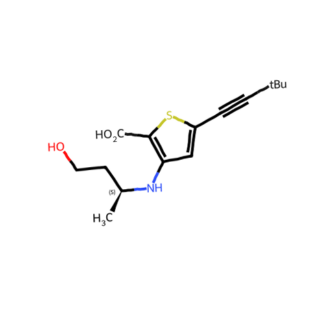 C[C@@H](CCO)Nc1cc(C#CC(C)(C)C)sc1C(=O)O